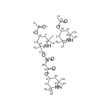 CC(=O)OC1CC(C)(C)NC(C)(C)C1.CC(=O)OC1CC(C)(C)NC(C)(C)C1.CC1(C)CC(OC(=O)C[N+](=O)[O-])CC(C)(C)N1